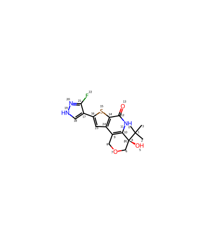 CC(C)(C)[C@]1(O)COCc2c1[nH]c(=O)c1sc(-c3c[nH]nc3F)cc21